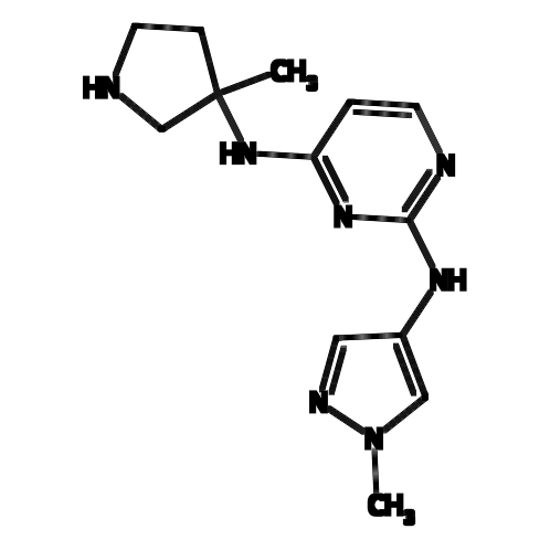 Cn1cc(Nc2nccc(NC3(C)CCNC3)n2)cn1